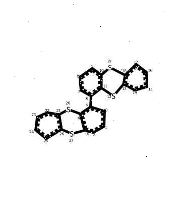 [c]1ccc2c(c1-c1cccc3c1Sc1ccccc1S3)Sc1ccccc1S2